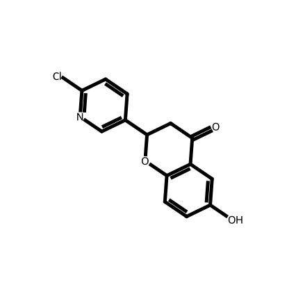 O=C1CC(c2ccc(Cl)nc2)Oc2ccc(O)cc21